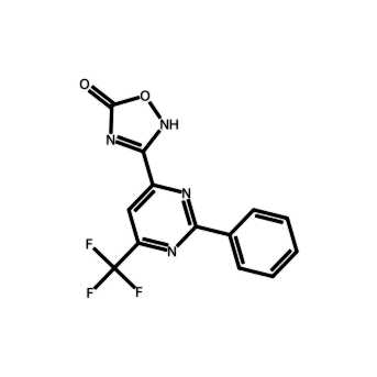 O=c1nc(-c2cc(C(F)(F)F)nc(-c3ccccc3)n2)[nH]o1